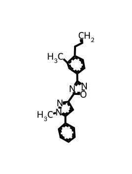 C=CCc1ccc(-c2noc(-c3cc(-c4ccccc4)n(C)n3)n2)cc1C